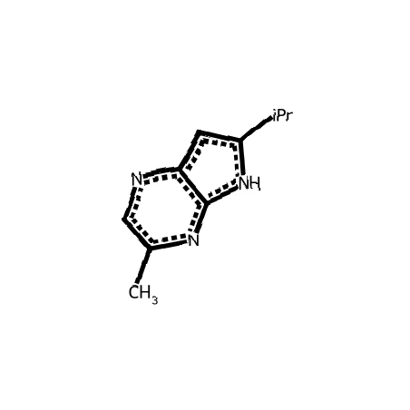 Cc1cnc2cc(C(C)C)[nH]c2n1